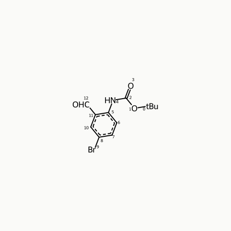 CC(C)(C)OC(=O)Nc1ccc(Br)cc1C=O